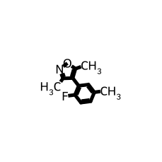 Cc1ccc(F)c(-c2c(C)noc2C)c1